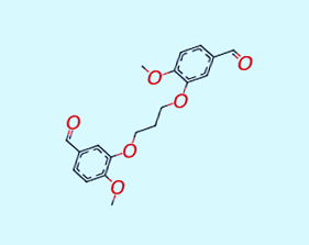 COc1ccc(C=O)cc1OCCCOc1cc(C=O)ccc1OC